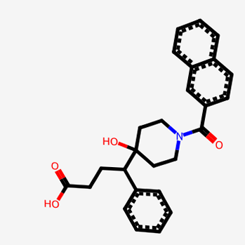 O=C(O)CCC(c1ccccc1)C1(O)CCN(C(=O)c2ccc3ccccc3c2)CC1